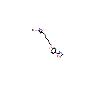 Cc1cc(CCC=CCOc2ccc(C3=NCCO3)cc2)on1